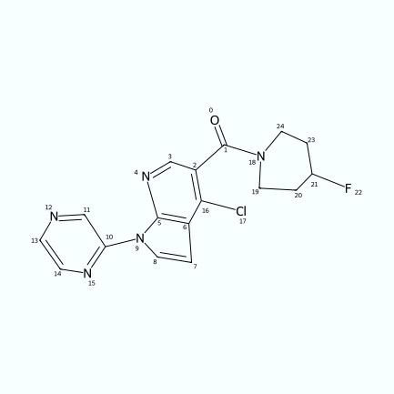 O=C(c1cnc2c(ccn2-c2cnccn2)c1Cl)N1CCC(F)CC1